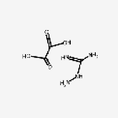 N=C(N)NN.O=C(O)C(=O)O